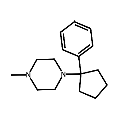 CN1CCN(C2(c3cc[c]cc3)CCCC2)CC1